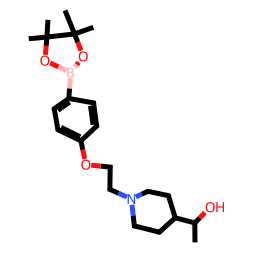 CC(O)C1CCN(CCOc2ccc(B3OC(C)(C)C(C)(C)O3)cc2)CC1